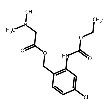 [CH2]COC(=O)Nc1cc(Cl)ccc1COC(=O)CN(C)C